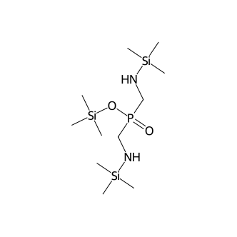 C[Si](C)(C)NCP(=O)(CN[Si](C)(C)C)O[Si](C)(C)C